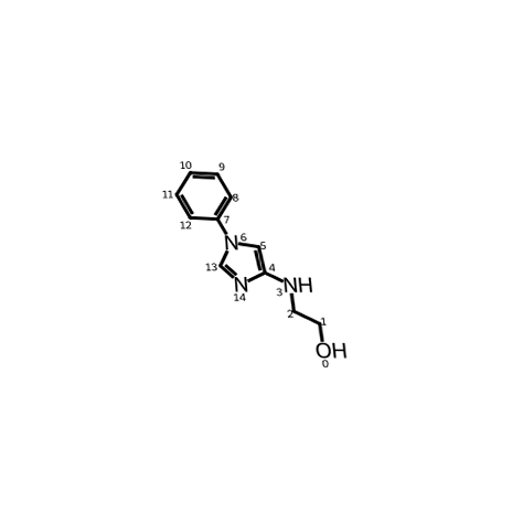 OCCNc1cn(-c2ccccc2)cn1